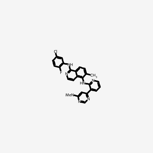 CNc1cc(-c2cccnc2Nc2c(C)ccc3c(Nc4cc(Cl)ccc4F)nccc23)ncn1